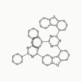 c1ccc(-c2nc(-c3ccccc3)nc(-c3ccc4oc5cccc(-c6nc(-c7ccccc7)nc(-c7cccc8sc9ccccc9c78)n6)c5c4c3)n2)cc1